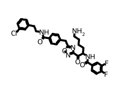 NCCCCC(NC(=O)c1ccc(F)c(F)c1)C(=O)c1noc(Cc2ccc(C(=O)NCCc3cccc(Cl)c3)cc2)n1